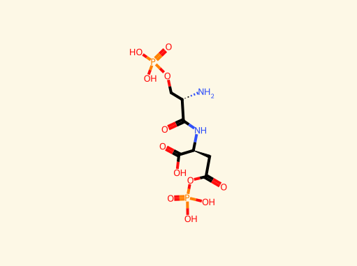 N[C@@H](COP(=O)(O)O)C(=O)N[C@@H](CC(=O)OP(=O)(O)O)C(=O)O